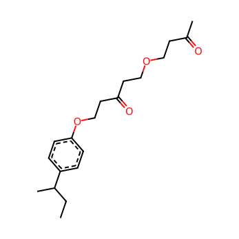 CCC(C)c1ccc(OCCC(=O)CCOCCC(C)=O)cc1